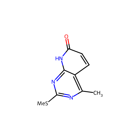 CSc1nc(C)c2ccc(=O)[nH]c2n1